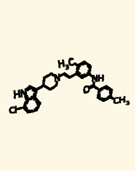 Cc1ccc(C(=O)Nc2ccc(C)c(CCN3CCC(c4c[nH]c5c(Cl)cccc45)CC3)c2)cc1